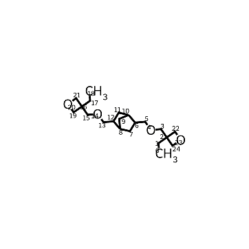 CCC1(COCC2CC3CC2CC3COCC2(CC)COC2)COC1